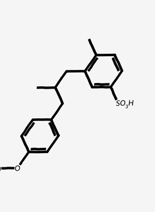 Cc1ccc(S(=O)(=O)O)cc1CC(C)Cc1ccc(OC(C)(C)C)cc1